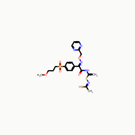 C=C(NC(=O)/C(=N/OCc1ncccn1)c1ccc(S(=O)(=O)CCCOC)cc1)S/N=C(/C)S